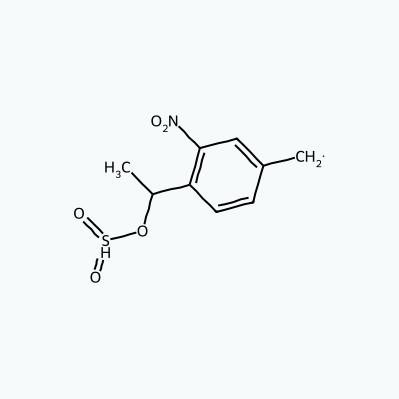 [CH2]c1ccc(C(C)O[SH](=O)=O)c([N+](=O)[O-])c1